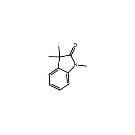 CN1C(=O)C(C)(C)c2cc[c]cc21